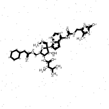 C/N=C\[C@@]1(c2ccc3c(NC(=O)OCc4oc(=O)oc4C)ncnn23)O[C@H](COC(=O)CC2CCCCC2)[C@@H](OC(=O)[C@@H](N)C(C)C)[C@H]1O